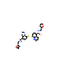 O=C(NCc1ccco1)c1ccc(SSc2ccc(C(=O)NCc3ccco3)c3cccnc23)c2ncccc12